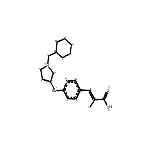 C/C(=C\c1ccc(NC2CCN(CC3CCCCC3)C2)nc1)C(=O)O